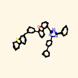 c1ccc(-c2ccc(-c3nc(-c4ccccc4)nc(-c4cccc5oc6c(-c7cccc(-c8ccc9c(c8)sc8ccccc89)c7)cccc6c45)n3)cc2)cc1